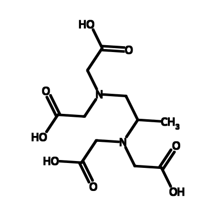 CC(CN(CC(=O)O)CC(=O)O)N(CC(=O)O)CC(=O)O